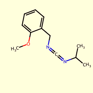 COc1ccccc1CN=C=NC(C)C